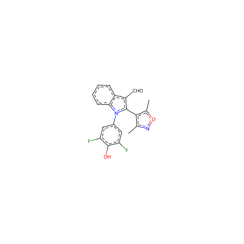 Cc1noc(C)c1-c1c(C=O)c2ccccc2n1-c1cc(F)c(O)c(F)c1